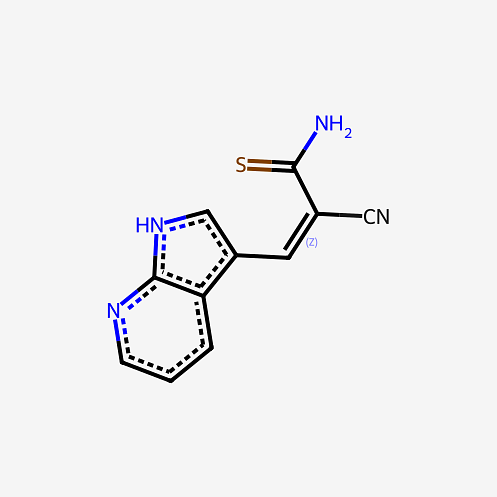 N#C/C(=C/c1c[nH]c2ncccc12)C(N)=S